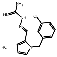 Cl.N=C(N)N/N=C/c1cccn1Cc1cccc(Cl)c1